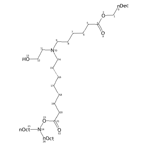 CCCCCCCCCCCOC(=O)CCCCCN(CCO)CCCCCCCC(=O)ON(CCCCCCCC)CCCCCCCC